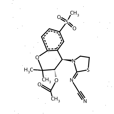 CC(=O)O[C@H]1[C@H](N2CCSC2=NC#N)c2cc(S(C)(=O)=O)ccc2OC1(C)C